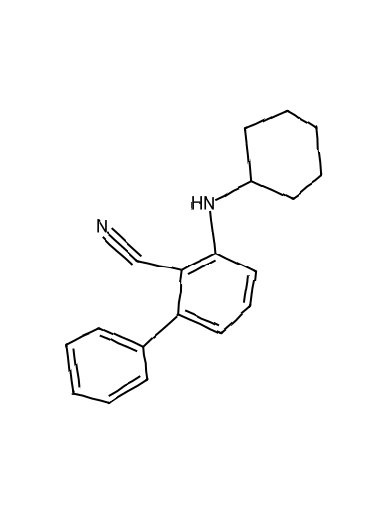 N#Cc1c(NC2CCCCC2)cccc1-c1ccccc1